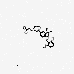 O=C(O)CCN1CCOC(c2ccc(OCc3c(Cl)cccc3Cl)c(C(F)(F)F)c2)C1